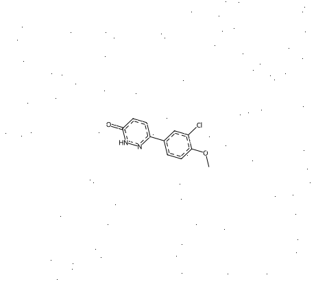 COc1ccc(-c2ccc(=O)[nH]n2)cc1Cl